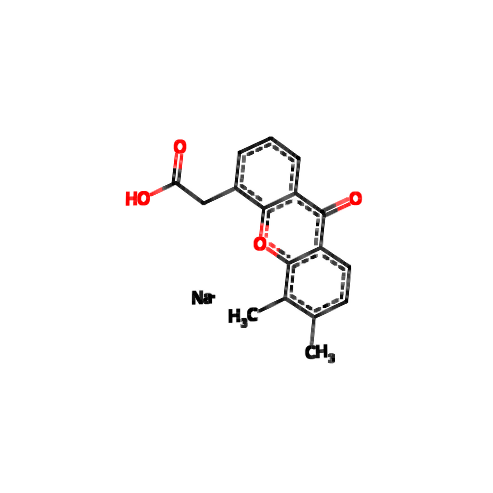 Cc1ccc2c(=O)c3cccc(CC(=O)O)c3oc2c1C.[Na]